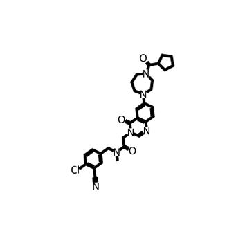 CN(Cc1ccc(Cl)c(C#N)c1)C(=O)Cn1cnc2ccc(N3CCCN(C(=O)C4CCCC4)CC3)cc2c1=O